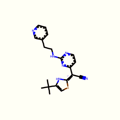 CC(C)(C)C1=CS/C(=C(\C#N)c2ccnc(NCCc3cccnc3)n2)N1